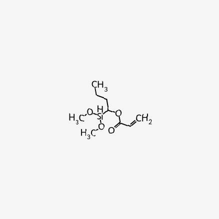 C=CC(=O)OC(CCC)[SiH](OC)OC